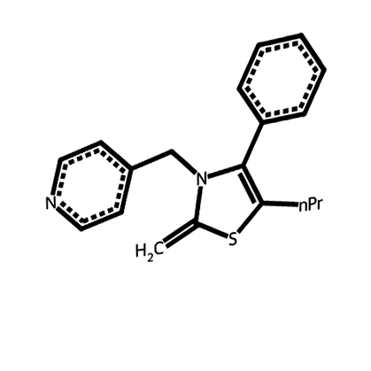 C=C1SC(CCC)=C(c2ccccc2)N1Cc1ccncc1